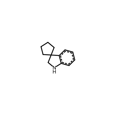 c1ccc2c(c1)NCC21CCCC1